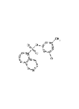 Cc1cc([O])cc(OS(=O)(=O)c2cccc3cnccc23)c1